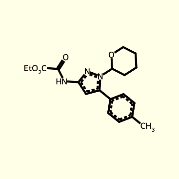 CCOC(=O)C(=O)Nc1cc(-c2ccc(C)cc2)n(C2CCCCO2)n1